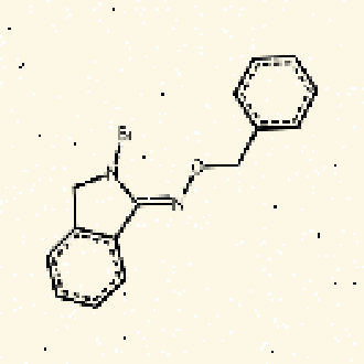 BrN1Cc2ccccc2C1=NOCc1ccccc1